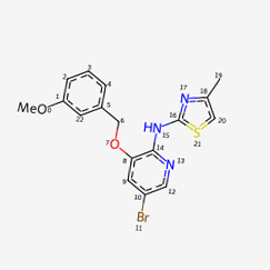 COc1cccc(COc2cc(Br)cnc2Nc2nc(C)cs2)c1